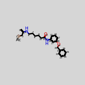 C=C(CSC(C)=O)NCCCCCC(=O)Nc1cccc(OCc2ccccc2)c1